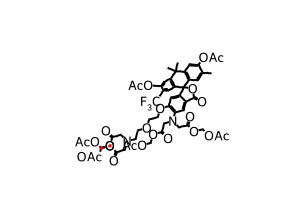 CC(=O)OCOC(=O)CN(CCOCCOc1cc2c(cc1N(CC(=O)OCOC(C)=O)CC(=O)OCOC(C)=O)C(=O)OC21c2cc(C)c(OC(C)=O)cc2C(C)(C)c2cc(OC(C)=O)c(C(F)(F)F)cc21)CC(=O)OCOC(C)=O